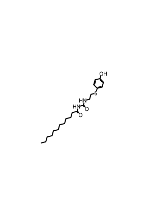 CCCCCCCCCCCC(=O)NC(=O)NCCSc1ccc(O)cc1